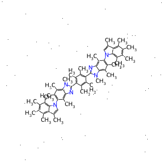 Cc1c(C)c(-c2nc3c(C)c(-n4cc(C)c5c(C)c(C)c(C)c(C)c54)c(C)c(C)c3n2C)c(C)c(C)c1-c1nc2c(C)c(-n3cc(C)c4c(C)c(C)c(C)c(C)c43)c(C)c(C)c2n1C